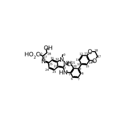 Cn1[nH]c(Nc2cccc(-c3ccc4c(c3)OCCO4)c2Cl)c2ccc(=NC(CO)C(=O)O)cc1-2